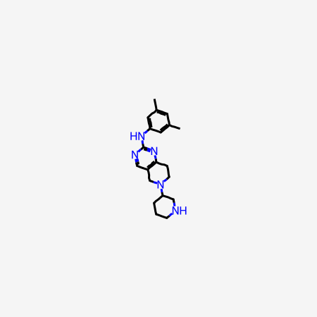 Cc1cc(C)cc(Nc2ncc3c(n2)CCN(C2CCCNC2)C3)c1